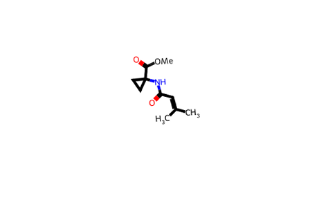 COC(=O)C1(NC(=O)C=C(C)C)CC1